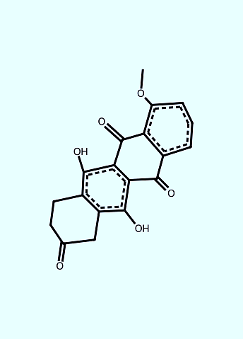 COc1cccc2c1C(=O)c1c(O)c3c(c(O)c1C2=O)CC(=O)CC3